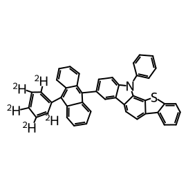 [2H]c1c([2H])c([2H])c(-c2c3ccccc3c(-c3ccc4c(c3)c3ccc5c6ccccc6sc5c3n4-c3ccccc3)c3ccccc23)c([2H])c1[2H]